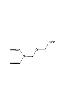 C=CN(C=C)COCOC